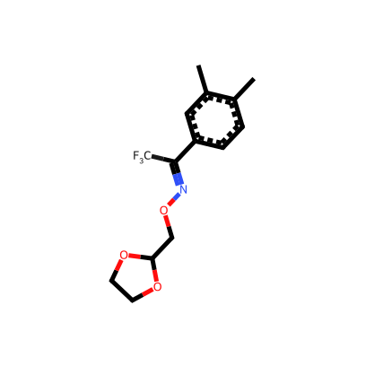 Cc1ccc(C(=NOCC2OCCO2)C(F)(F)F)cc1C